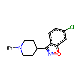 CC(C)N1CCC(c2noc3cc(Cl)ccc23)CC1